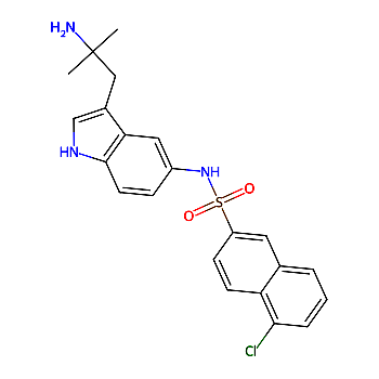 CC(C)(N)Cc1c[nH]c2ccc(NS(=O)(=O)c3ccc4c(Cl)cccc4c3)cc12